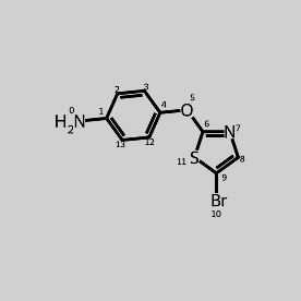 Nc1ccc(Oc2ncc(Br)s2)cc1